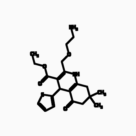 CCOC(=O)C1=C(COCCN)NC2=C(C(=O)CC(C)(C)C2)C1c1cccs1